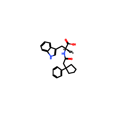 C[C@](Cc1c[nH]c2ccccc12)(NC(=O)CC1(c2ccccc2)CCCC1)C(=O)O